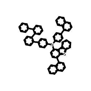 c1ccc(-c2ccccc2-c2ccccc2-c2ccc(N(c3ccc(-c4cccc5ccccc45)cc3)c3ccc(-c4cccc5ccccc45)c4sc5ccccc5c34)cc2)cc1